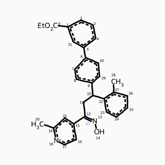 CCOC(=O)c1cccc(-c2ccc(C(C/C(=N/O)c3ccnc(C)c3)c3ccccc3C)cc2)c1